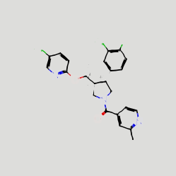 Cc1cc(C(=O)N2C[C@@H]([C@@H](C)Oc3ccc(Cl)cn3)[C@H](c3ccc(Cl)c(Cl)c3)C2)ccn1